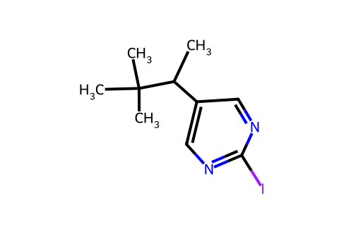 CC(c1cnc(I)nc1)C(C)(C)C